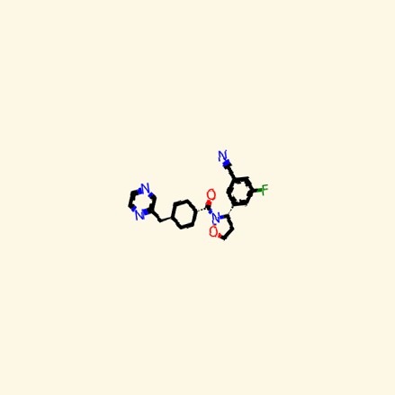 N#Cc1cc(F)cc([C@@H]2CCON2C(=O)[C@H]2CC[C@H](Cc3cnccn3)CC2)c1